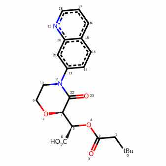 CC(C)(C)CC(=O)O[C@@H](C(=O)O)[C@H]1OCCN(c2ccc3cccnc3c2)C1=O